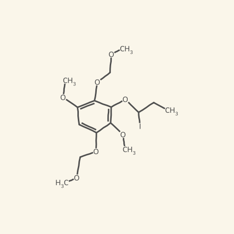 CCC(I)Oc1c(OC)c(OCOC)cc(OC)c1OCOC